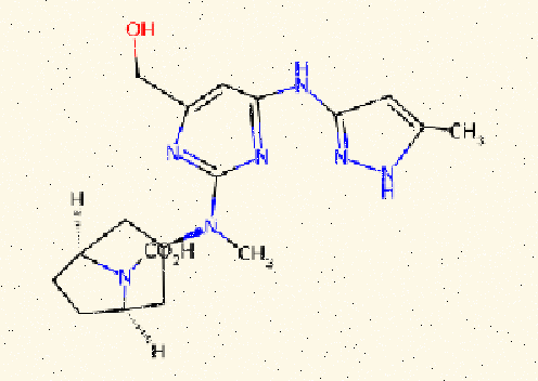 Cc1cc(Nc2cc(CO)nc(N(C)[C@H]3C[C@H]4CC[C@@H](C3)N4C(=O)O)n2)n[nH]1